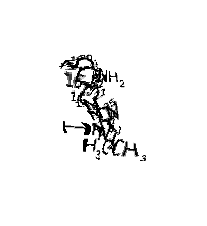 CC(C)=Cc1n[nH]c2nc(N3CCC4(CC3)Cc3ncccc3[C@H]4N)cnc12